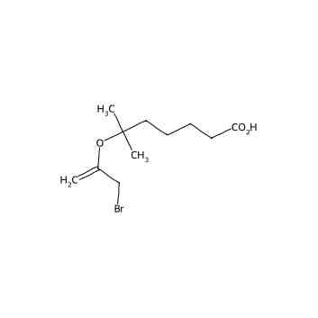 C=C(CBr)OC(C)(C)CCCCC(=O)O